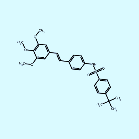 COc1cc(C=Cc2ccc(NS(=O)(=O)c3ccc(C(C)(C)C)cc3)cc2)cc(OC)c1OC